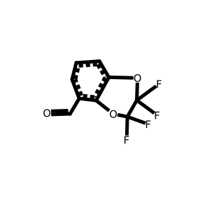 O=Cc1cccc2c1OC(F)(F)C(F)(F)O2